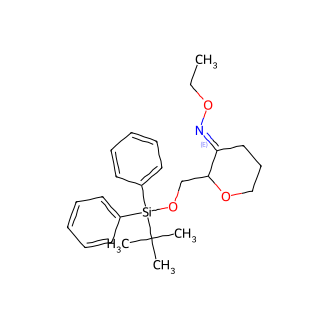 CCO/N=C1\CCCOC1CO[Si](c1ccccc1)(c1ccccc1)C(C)(C)C